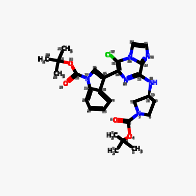 CC(C)(C)OC(=O)N1CC[C@H](Nc2nc(-c3cn(C(=O)OC(C)(C)C)c4ccccc34)c(Cl)n3ccnc23)C1